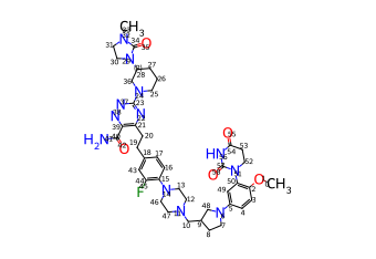 COc1ccc(N2CCC(CN3CCN(c4ccc(CCc5nc(N6CCC[C@@H](N7CCN(C)C7=O)C6)nnc5C(N)=O)cc4F)CC3)C2)cc1N1CCC(=O)NC1=O